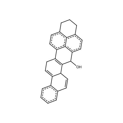 OC1C2=C(CC=C3c4ccccc4C=CC32)c2ccc3c4c(ccc1c24)CCC3